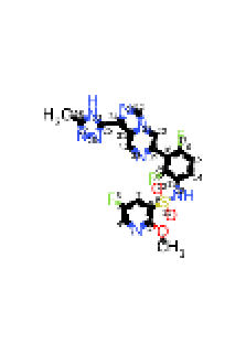 COc1ncc(F)cc1S(=O)(=O)Nc1ccc(F)c(-c2cn3cnc(-c4nnc(C)[nH]4)c3cn2)c1F